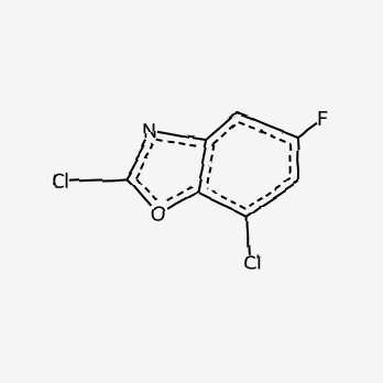 Fc1cc(Cl)c2oc(Cl)nc2c1